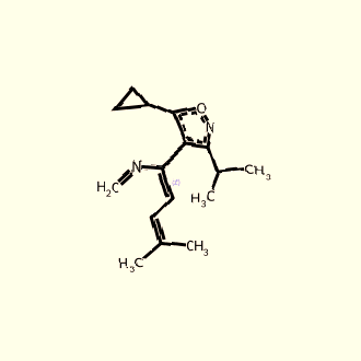 C=N/C(=C\C=C(C)C)c1c(C(C)C)noc1C1CC1